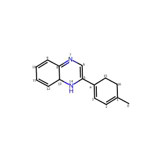 CC1=CC=C(C2=CN=C3C=CC=CC3N2)CC1